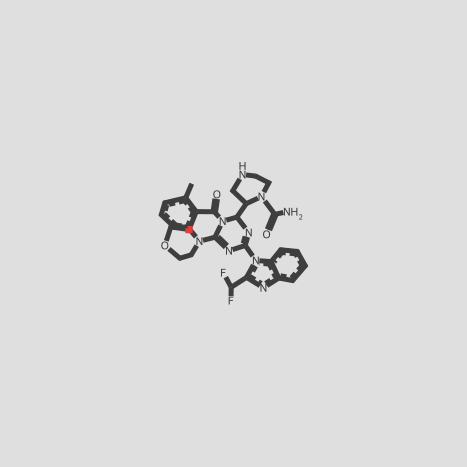 Cc1ccccc1C(=O)N1C(N2CCOCC2)=NC(n2c(C(F)F)nc3ccccc32)=NC1C1CNCCN1C(N)=O